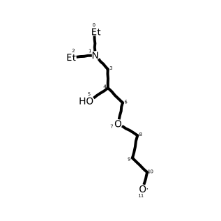 CCN(CC)CC(O)COCCC[O]